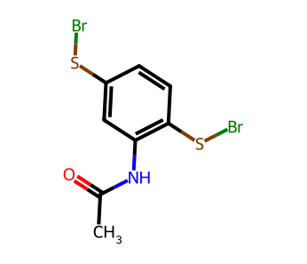 CC(=O)Nc1cc(SBr)ccc1SBr